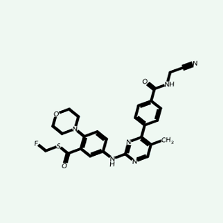 Cc1cnc(Nc2ccc(N3CCOCC3)c(C(=O)SCF)c2)nc1-c1ccc(C(=O)NCC#N)cc1